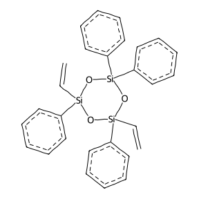 C=C[Si]1(c2ccccc2)O[Si](C=C)(c2ccccc2)O[Si](c2ccccc2)(c2ccccc2)O1